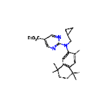 CCOC(=O)c1cnc(N(CC2CC2)c2cc3c(cc2C)C(C)(C)CCC3(C)C)nc1